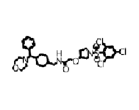 O=C(COC1CCN(S(=O)(=O)c2c(Cl)cc(Cl)cc2Cl)C1)NCC1CCC(C(c2ccccc2)N2CCOCC2)CC1